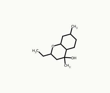 CCC1CC(C)(O)C2CCC(C)CC2O1